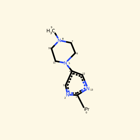 CC(C)c1ncc(N2CCN(C)CC2)cn1